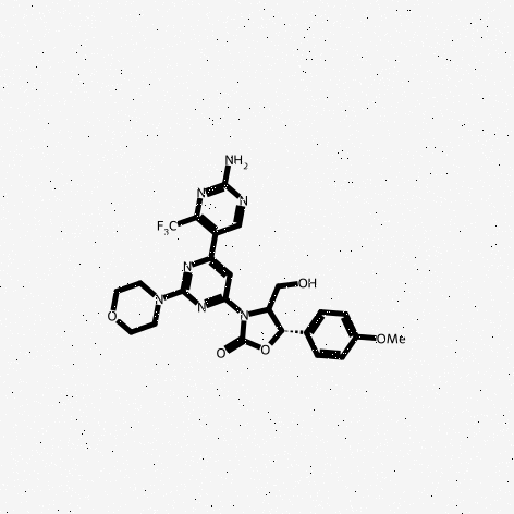 COc1ccc([C@@H]2OC(=O)N(c3cc(-c4cnc(N)nc4C(F)(F)F)nc(N4CCOCC4)n3)C2CO)cc1